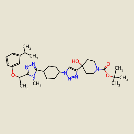 CC(C)c1cccc(O[C@H](C)c2nnc(C3CCC(n4cc(C5(O)CCN(C(=O)OC(C)(C)C)CC5)nn4)CC3)n2C)c1